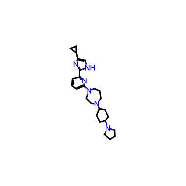 c1cc(-c2nc(C3CC3)c[nH]2)nc(N2CCCN(C3CCC(N4CCCC4)CC3)CC2)c1